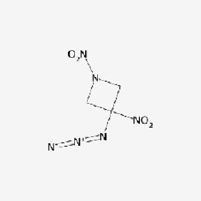 [N-]=[N+]=NC1([N+](=O)[O-])CN([N+](=O)[O-])C1